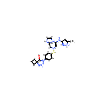 Cc1cc(NC2=CN(Sc3ccc(NC(=O)C4(N)CCC4)cc3)CC3=NC=C[N+]23)n[nH]1